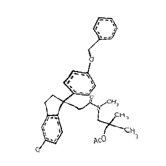 CC(=O)OC(C)(C)CN(C)C(=O)CC1(c2ccc(OCc3ccccc3)cc2)CCc2cc(Cl)ccc21